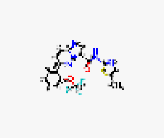 Cc1cnc(NC(=O)c2cnc3ccc(-c4ccccc4OC(F)(F)F)nn23)s1